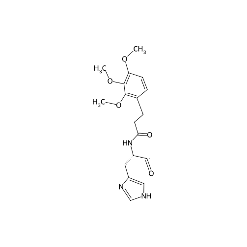 COc1ccc(CCC(=O)N[C@H]([C]=O)Cc2c[nH]cn2)c(OC)c1OC